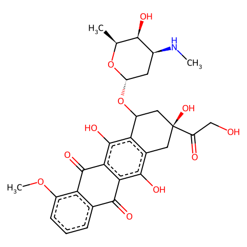 CN[C@H]1C[C@H](OC2C[C@](O)(C(=O)CO)Cc3c(O)c4c(c(O)c32)C(=O)c2c(OC)cccc2C4=O)O[C@@H](C)[C@H]1O